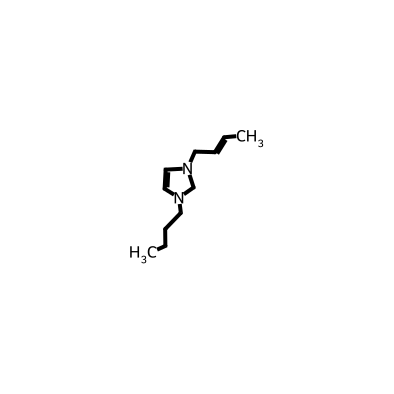 CC=CCN1C=CN(CCCC)C1